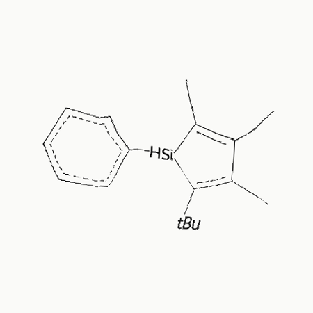 CC1=C(C)[SiH](c2ccccc2)C(C(C)(C)C)=C1C